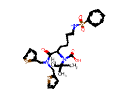 CC(C)(C)N(C(=O)O)C(CCCCNS(=O)(=O)c1ccccc1)C(=O)N(Cc1cccs1)Cc1cccs1